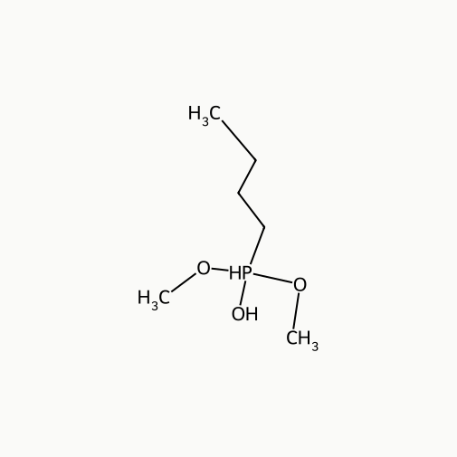 CCCC[PH](O)(OC)OC